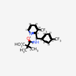 CC(C)(C(=O)O)C(=O)N[C@@H](c1ccc(C(F)(F)F)cc1)c1ncccc1C(F)(F)F